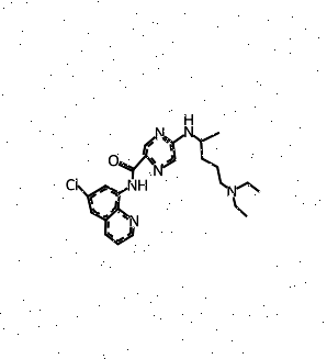 CCN(CC)CCCC(C)Nc1cnc(C(=O)Nc2cc(Cl)cc3cccnc23)cn1